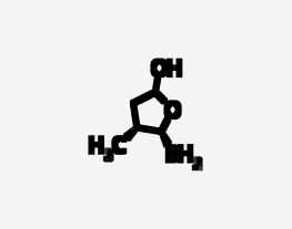 B[C@@H]1OC(O)C[C@@H]1C